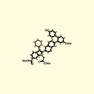 COC(=O)Cn1c(-c2ccc3nc(-c4cc(OC)ccc4-c4ccc(Cl)cc4)ccc3c2)c(C2CCCCC2)c2ccc(C(=O)OC)cc21